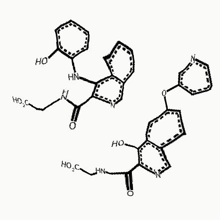 O=C(O)CNC(=O)c1ncc2ccc(Oc3cccnc3)cc2c1O.O=C(O)CNC(=O)c1ncc2ccccc2c1Nc1ccccc1O